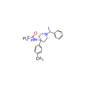 CC(=O)NC1(c2ccc(C)cc2)CCN(C(I)c2ccccc2)CC1